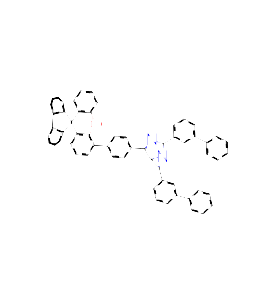 c1ccc(-c2cccc(C3N=C(c4ccc(-c5cccc6c5Oc5ccccc5C65c6ccccc6-c6ccccc65)cc4)C4C(c5cccc(-c6ccccc6)c5)N34)c2)cc1